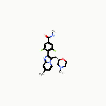 CNC(=O)c1cc(F)c(-c2nc3cc(C)ccn3c2C[C@H]2CN(C)CCO2)c(F)c1